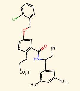 Cc1cc(C)cc(C(CC(C)C)NC(=O)c2cc(OCc3ccccc3Cl)ccc2CCC(=O)O)c1